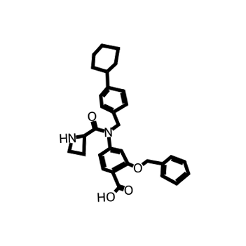 O=C(O)c1ccc(N(Cc2ccc(C3CCCCC3)cc2)C(=O)C2CCN2)cc1OCc1ccccc1